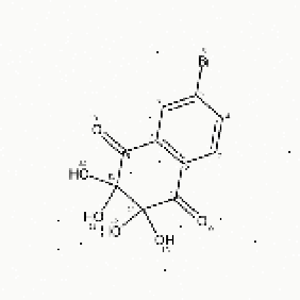 O=C1c2ccc(Br)cc2C(=O)C(O)(O)C1(O)O